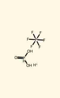 F[P-](F)(F)(F)(F)F.O=[PH](O)O.[H+]